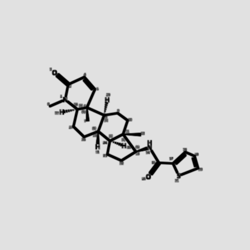 CN1C(=O)C=C[C@]2(C)[C@H]3CC[C@]4(C)[C@@H](NC(=O)c5cccs5)CC[C@H]4[C@@H]3CC[C@@H]12